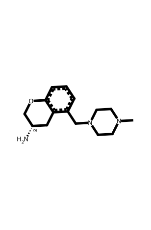 CN1CCN(Cc2cccc3c2C[C@H](N)CO3)CC1